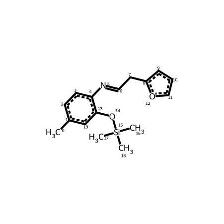 Cc1ccc(N=CCc2ccco2)c(O[Si](C)(C)C)c1